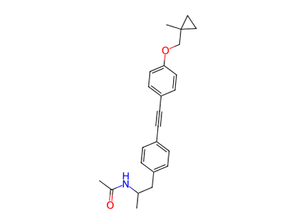 CC(=O)NC(C)Cc1ccc(C#Cc2ccc(OCC3(C)CC3)cc2)cc1